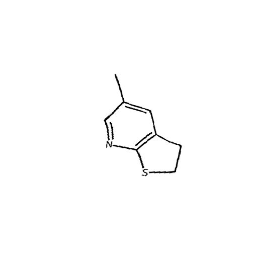 Cc1cnc2c(c1)CCS2